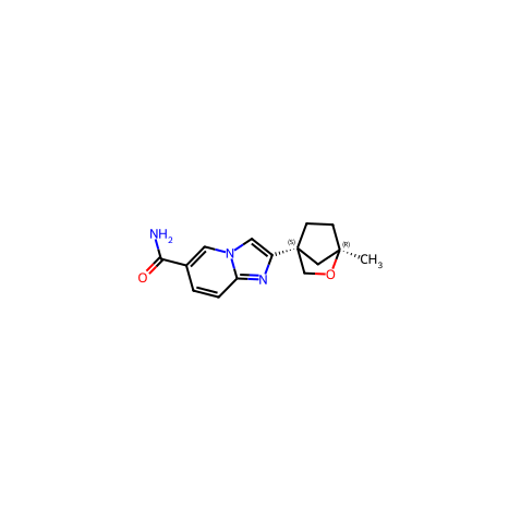 C[C@]12CC[C@](c3cn4cc(C(N)=O)ccc4n3)(CO1)C2